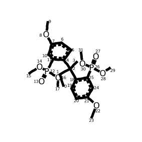 CCC(C)(c1ccc(OC)cc1P(=O)(OC)OC)c1ccc(OC)cc1P(=O)(OC)OC